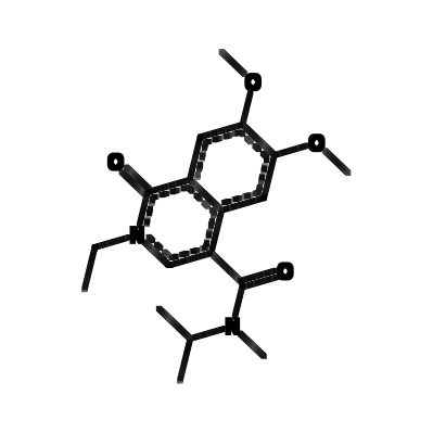 CCn1cc(C(=O)N(C)C(C)C)c2cc(OC)c(OC)cc2c1=O